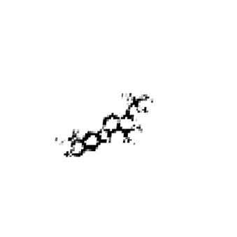 CC(C)C1c2nc3cc(CO)c(S(C)(=O)=O)cc3n2CCN1C(=O)OC(C)(C)C